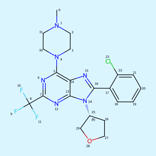 CN1CCN(c2nc(C(F)(F)F)nc3c2nc(-c2ccccc2Cl)n3[C@@H]2CCOC2)CC1